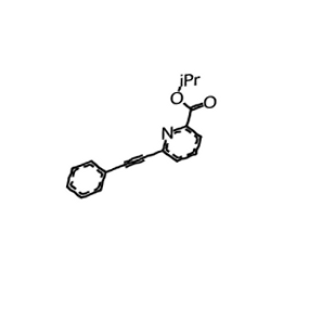 CC(C)OC(=O)c1cccc(C#Cc2ccccc2)n1